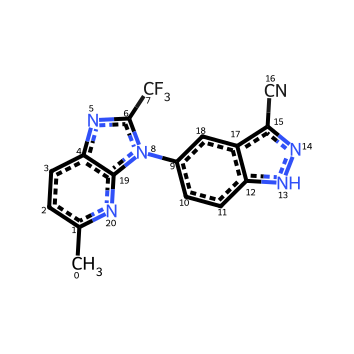 Cc1ccc2nc(C(F)(F)F)n(-c3ccc4[nH]nc(C#N)c4c3)c2n1